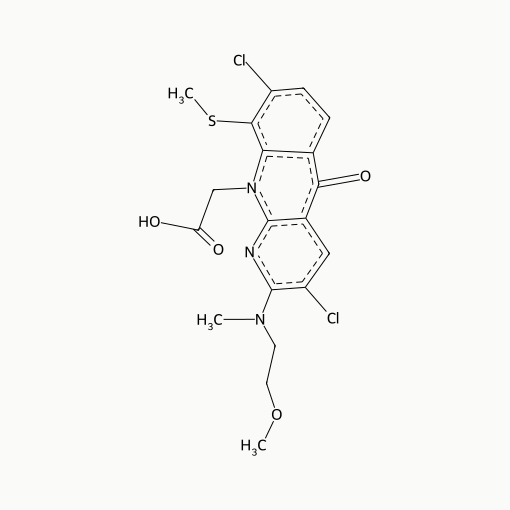 COCCN(C)c1nc2c(cc1Cl)c(=O)c1ccc(Cl)c(SC)c1n2CC(=O)O